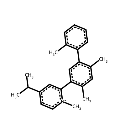 Cc1ccccc1-c1cc(-c2cc(C(C)C)cc[n+]2C)c(C)cc1C